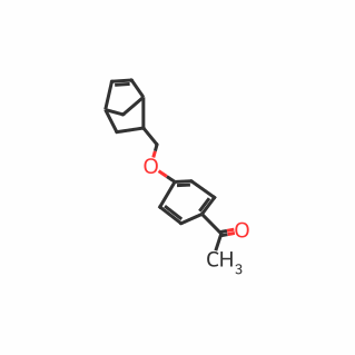 CC(=O)c1ccc(OCC2CC3C=CC2C3)cc1